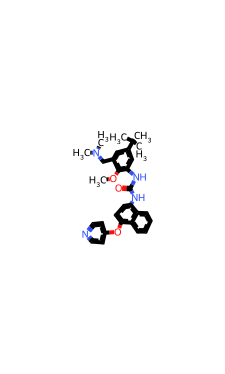 COc1c(CN(C)C)cc(C(C)(C)C)cc1NC(=O)Nc1ccc(Oc2ccncc2)c2ccccc12